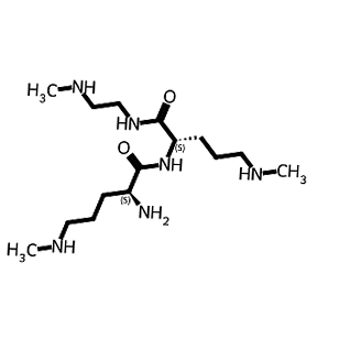 CNCCC[C@H](NC(=O)[C@@H](N)CCCNC)C(=O)NCCNC